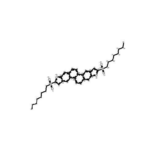 CCCCCCCCS(=O)(=O)c1cc2cc3c(ccc4c5cc6cc(S(=O)(=O)CCCCCCCC)oc6cc5ccc34)cc2o1